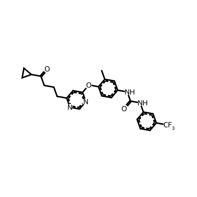 Cc1cc(NC(=O)Nc2cccc(C(F)(F)F)c2)ccc1Oc1cc(CCCC(=O)C2CC2)ncn1